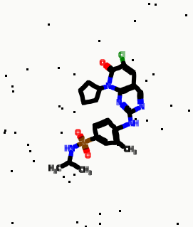 Cc1cc(S(=O)(=O)NC(C)C)ccc1Nc1ncc2cc(Cl)c(=O)n(C3CCCC3)c2n1